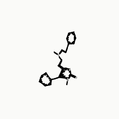 CN(CCc1ccccc1)CCc1sc(=S)n(C)c1-c1ccccc1